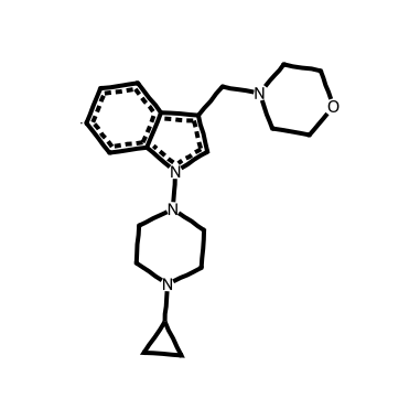 [c]1ccc2c(CN3CCOCC3)cn(N3CCN(C4CC4)CC3)c2c1